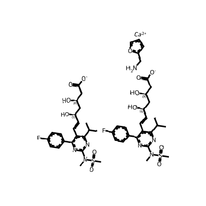 CC(C)c1nc(N(C)S(C)(=O)=O)nc(-c2ccc(F)cc2)c1C=C[C@@H](O)C[C@@H](O)CC(=O)[O-].CC(C)c1nc(N(C)S(C)(=O)=O)nc(-c2ccc(F)cc2)c1C=C[C@@H](O)C[C@@H](O)CC(=O)[O-].NCc1ccco1.[Ca+2]